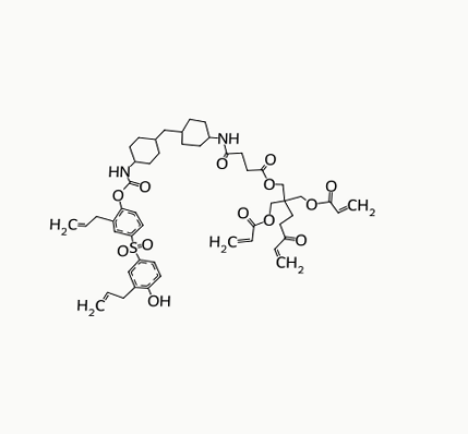 C=CCc1cc(S(=O)(=O)c2ccc(OC(=O)NC3CCC(CC4CCC(NC(=O)CCC(=O)OCC(CCC(=O)C=C)(COC(=O)C=C)COC(=O)C=C)CC4)CC3)c(CC=C)c2)ccc1O